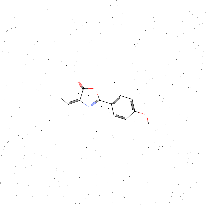 C/C=C1/N=C(c2ccc(OC(C)C)cc2)OC1=O